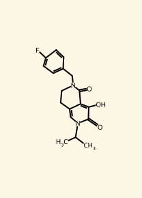 CC(C)n1cc2c(c(O)c1=O)C(=O)N(Cc1ccc(F)cc1)CC2